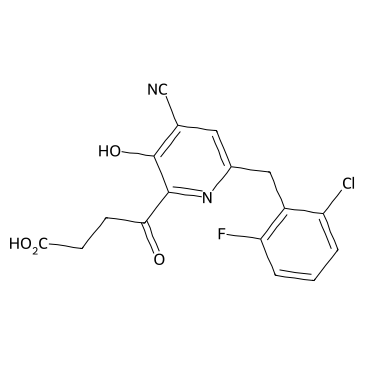 N#Cc1cc(Cc2c(F)cccc2Cl)nc(C(=O)CCC(=O)O)c1O